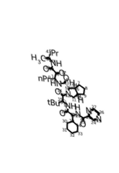 CCC[C@H](NC(=O)[C@@H]1[C@H]2CCC[C@H]2CN1C(=O)[C@@H](NC(=O)[C@@H](NC(=O)c1cnccn1)C1CCCCC1)C(C)(C)C)C(=O)C(=O)N[C@@H](C)C(C)C